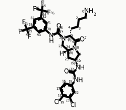 NCCCC[C@@H]1C(=O)N2C[C@@H](NC(=O)Nc3ccc(Cl)c(Cl)c3)C[C@@H]2CN1C(=O)Nc1cc(C(F)(F)F)cc(C(F)(F)F)c1